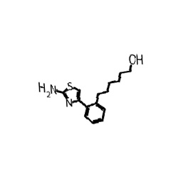 Nc1nc(-c2ccccc2CCCCCCO)cs1